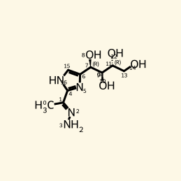 CC(=NN)c1nc([C@@H](O)[C@H](O)[C@H](O)CO)c[nH]1